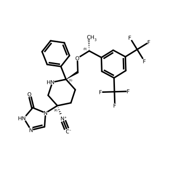 [C-]#[N+][C@@]1(n2cn[nH]c2=O)CC[C@@](CO[C@H](C)c2cc(C(F)(F)F)cc(C(F)(F)F)c2)(c2ccccc2)NC1